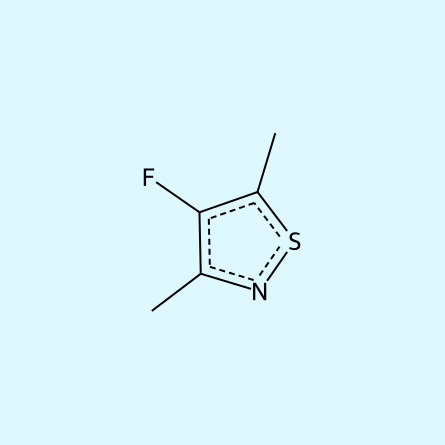 Cc1nsc(C)c1F